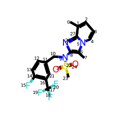 Cc1cccn2c(C)c(N(Cc3ccc(F)c(C(F)(F)F)c3)S(C)(=O)=O)nc12